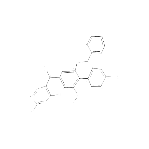 CCOc1cc(C(C)c2cnc(N)nc2N)cc(OCc2ccccc2)c1-c1ccc(N)cc1